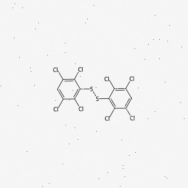 Clc1cc(Cl)c(Cl)c(SSc2c(Cl)c(Cl)cc(Cl)c2Cl)c1Cl